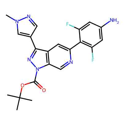 Cn1cc(-c2nn(C(=O)OC(C)(C)C)c3cnc(-c4c(F)cc(N)cc4F)cc23)cn1